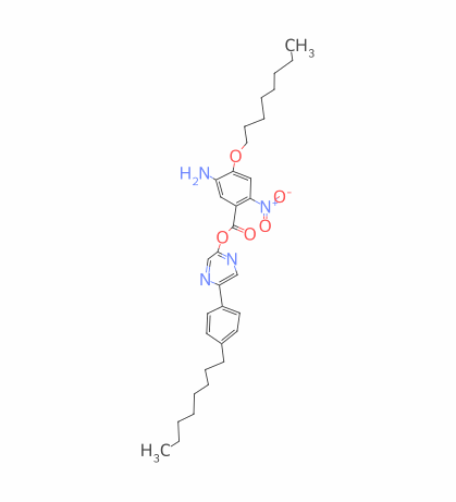 CCCCCCCCOc1cc([N+](=O)[O-])c(C(=O)Oc2cnc(-c3ccc(CCCCCCCC)cc3)cn2)cc1N